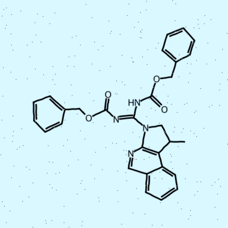 CC1CN(C(=NC(=O)OCc2ccccc2)NC(=O)OCc2ccccc2)c2ncc3ccccc3c21